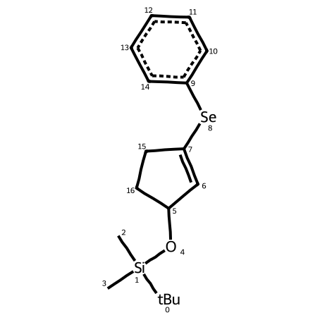 CC(C)(C)[Si](C)(C)OC1C=C([Se]c2ccccc2)CC1